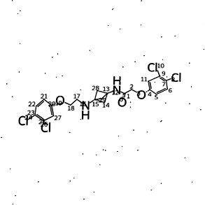 O=C(COc1ccc(Cl)c(Cl)c1)NC12CC(NCCOc3ccc(Cl)c(Cl)c3)(C1)C2